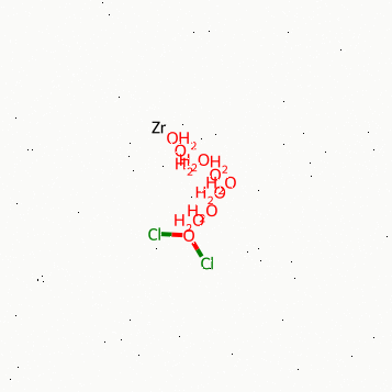 ClOCl.O.O.O.O.O.O.O.O.[Zr]